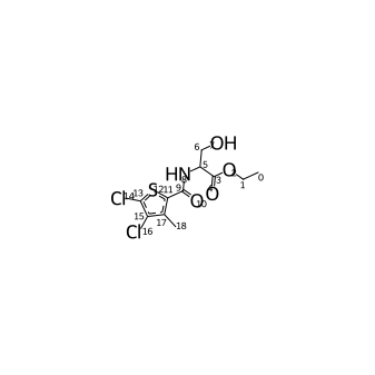 CCOC(=O)C(CO)NC(=O)c1sc(Cl)c(Cl)c1C